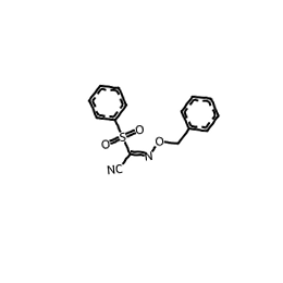 N#CC(=NOCc1ccccc1)S(=O)(=O)c1ccccc1